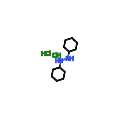 C1CCC(NNC2CCCCC2)CC1.Cl.Cl